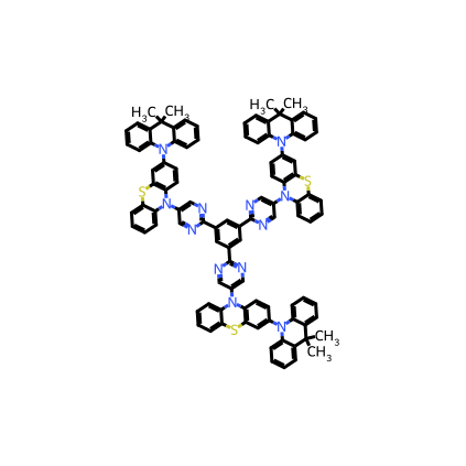 CC1(C)c2ccccc2N(c2ccc3c(c2)Sc2ccccc2N3c2cnc(-c3cc(-c4ncc(N5c6ccccc6Sc6cc(N7c8ccccc8C(C)(C)c8ccccc87)ccc65)cn4)cc(-c4ncc(N5c6ccccc6Sc6cc(N7c8ccccc8C(C)(C)c8ccccc87)ccc65)cn4)c3)nc2)c2ccccc21